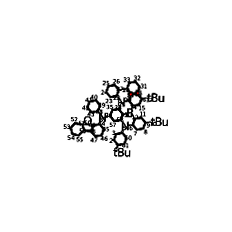 CC(C)(C)c1ccc(N2c3ccc(C(C)(C)C)cc3B3c4cc(C(C)(C)C)ccc4N(c4ccccc4-c4ccccc4)c4cc(N(c5ccccc5)c5cccc6c5oc5ccccc56)cc2c43)cc1